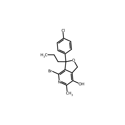 CCCC1(c2ccc(Cl)cc2)OCc2c(O)c(C)nc(Br)c21